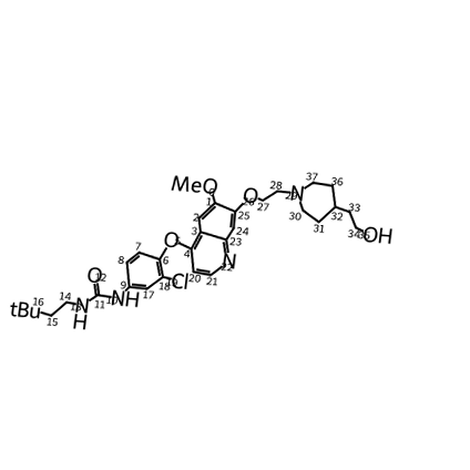 COc1cc2c(Oc3ccc(NC(=O)NCCC(C)(C)C)cc3Cl)ccnc2cc1OCCN1CCC(CCO)CC1